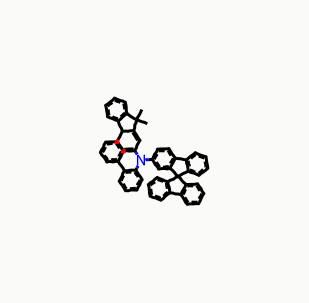 CC1(C)C2=CC(N(c3ccc4c(c3)C3(c5ccccc5-c5ccccc53)c3ccccc3-4)c3ccccc3-c3ccccc3)=CCC2c2ccccc21